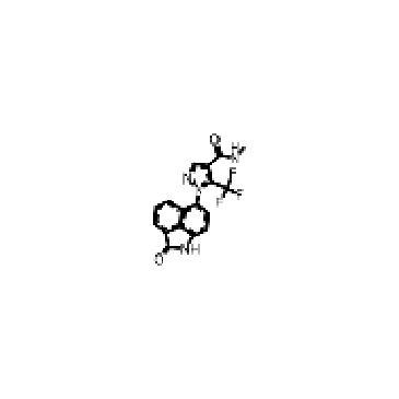 CNC(=O)c1cnn(-c2ccc3c4c(cccc24)C(=O)N3)c1C(F)(F)F